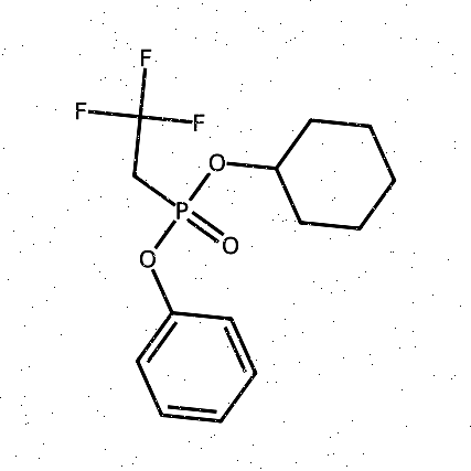 O=P(CC(F)(F)F)(Oc1ccccc1)OC1CCCCC1